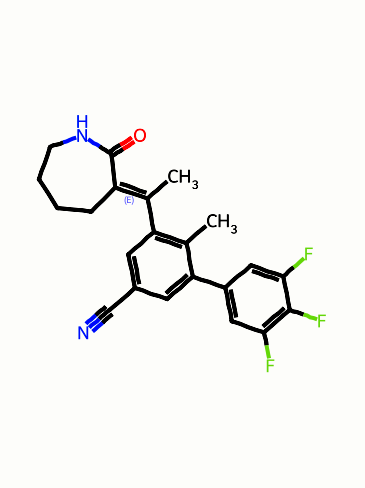 C/C(=C1/CCCCNC1=O)c1cc(C#N)cc(-c2cc(F)c(F)c(F)c2)c1C